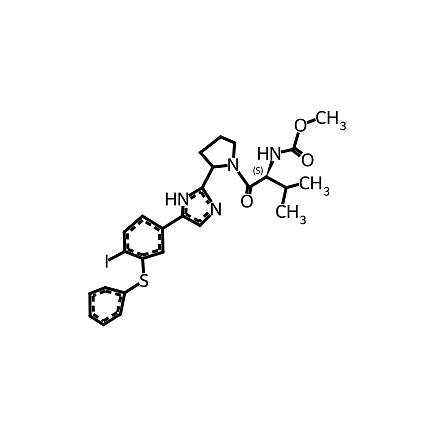 COC(=O)N[C@H](C(=O)N1CCCC1c1ncc(-c2ccc(I)c(Sc3ccccc3)c2)[nH]1)C(C)C